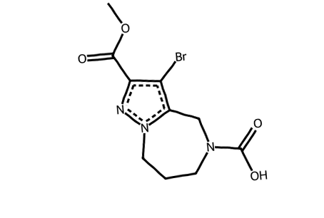 COC(=O)c1nn2c(c1Br)CN(C(=O)O)CCC2